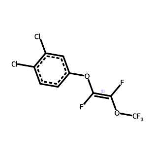 F/C(Oc1ccc(Cl)c(Cl)c1)=C(/F)OC(F)(F)F